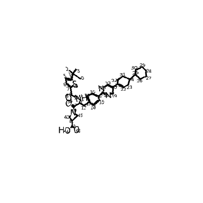 CC(C)(C)c1ccc(C(=O)NC(Cc2ccc(-c3ncc(C4=CCC(C5CCCCC5)CC4)cn3)cc2)C(=O)N2CC(C(=O)O)C2)s1